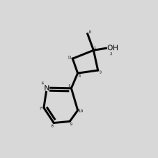 CC1(O)CC(C2=NC=CCC2)C1